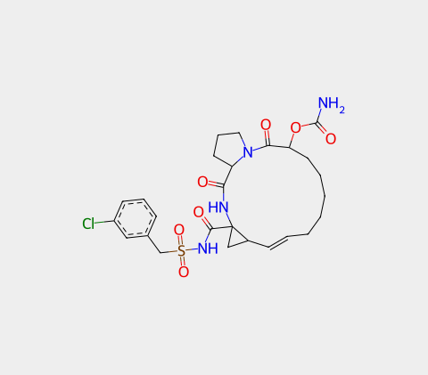 NC(=O)OC1CCCCC/C=C/C2CC2(C(=O)NS(=O)(=O)Cc2cccc(Cl)c2)NC(=O)C2CCCN2C1=O